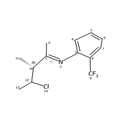 C/C(=N\c1ccccc1C(F)(F)F)[C@@H](C)C(C)Cl